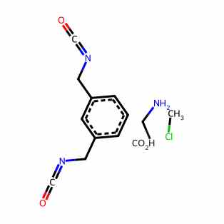 CCl.NCC(=O)O.O=C=NCc1cccc(CN=C=O)c1